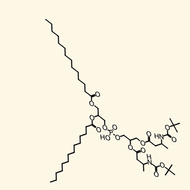 CCCCCCCCCCCCCC(=O)OCC(COP(=O)(O)OCC(COC(=O)CC(C)NC(=O)OC(C)(C)C)OC(=O)CC(C)NC(=O)OC(C)(C)C)OC(=O)CCCCCCCCCCCCC